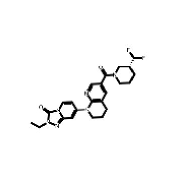 CCn1nc2cc(N3CCCc4cc(C(=O)N5CCC[C@@H](C(F)F)C5)cnc43)ccn2c1=O